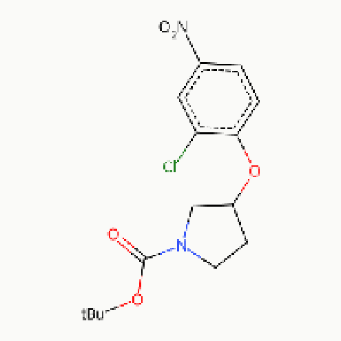 CC(C)(C)OC(=O)N1CCC(Oc2ccc([N+](=O)[O-])cc2Cl)C1